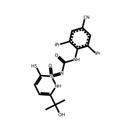 CC(C)c1cc(C#N)cc(C(C)C)c1NC(=O)N=S1(=O)NC(C(C)(C)O)=CC=C1S